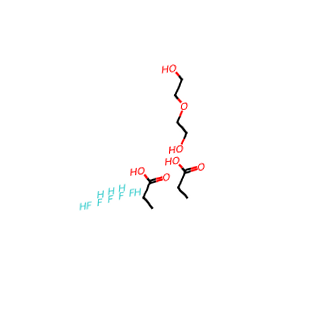 CCC(=O)O.CCC(=O)O.F.F.F.F.F.OCCOCCO